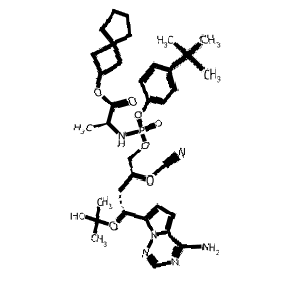 C[C@H](NP(=O)(OC[C@H](C[C@@H](OC(C)(C)O)c1ccc2c(N)ncnn12)OC#N)Oc1ccc(C(C)(C)C)cc1)C(=O)OC1CC2(CCCC2)C1